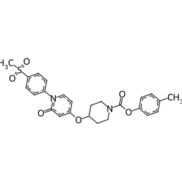 Cc1ccc(OC(=O)N2CCC(Oc3ccn(-c4ccc(S(C)(=O)=O)cc4)c(=O)c3)CC2)cc1